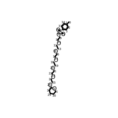 Cc1ccc(S(=O)(=O)OCCOCCOCCOCCOCCOCCOC2CCCCO2)cc1